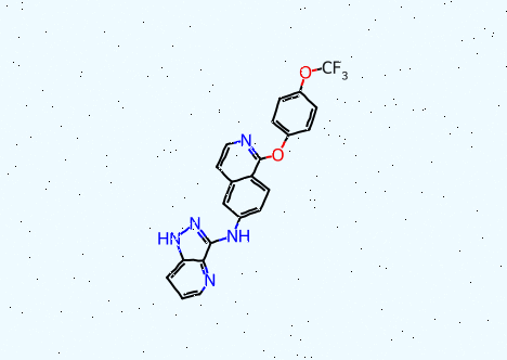 FC(F)(F)Oc1ccc(Oc2nccc3cc(Nc4n[nH]c5cccnc45)ccc23)cc1